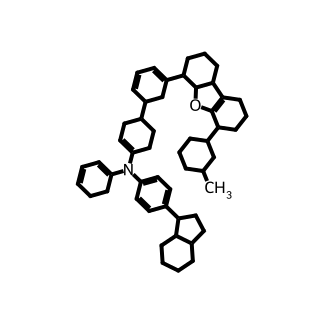 CC1CCCC(C2CCCC3=C2OC2C(C4=CC=CC(C5CC=C(N(C6=CC=CCC6)c6ccc(C7CCC8CCCCC87)cc6)CC5)C4)CCCC32)C1